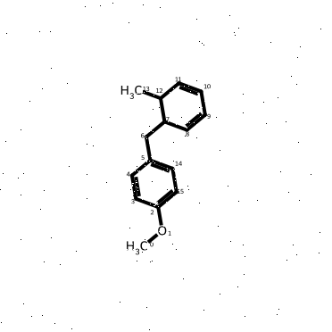 COc1ccc(CC2C=CC=CC2C)cc1